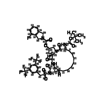 CC(C)(C)OC(=O)N[C@H]1CCCCCCC[C@@H]2C[C@@]2(C(=O)NS(=O)(=O)Cc2cc(C(F)(F)F)cc(C(F)(F)F)c2)NC(=O)[C@@H]2C[C@@H](OC(=O)N3Cc4cccc(F)c4C3)CN2C1=O